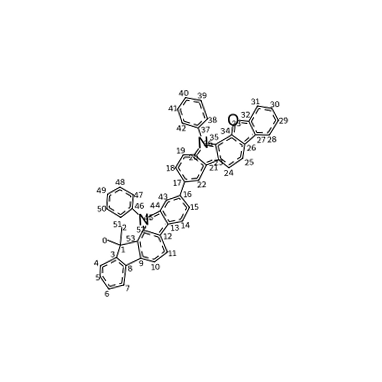 CC1(C)c2ccccc2-c2ccc3c4ccc(-c5ccc6c(c5)c5ccc7c8ccccc8oc7c5n6-c5ccccc5)cc4n(-c4ccccc4)c3c21